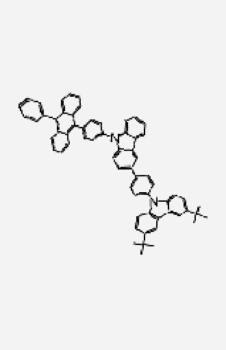 CC(C)(C)c1ccc2c(c1)c1cc(C(C)(C)C)ccc1n2-c1ccc(-c2ccc3c(c2)c2ccccc2n3-c2ccc(-c3c4ccccc4c(-c4ccccc4)c4ccccc34)cc2)cc1